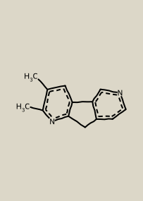 Cc1cc2c(nc1C)Cc1ccncc1-2